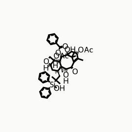 CC(=O)O[C@H]1C[C@@]2(O)[C@@H](OC(=O)c3ccccc3)[C@@H]3[C@]4(OC(C)=O)CO[C@@H]4C[C@H](CC(C)(C)[Si](O)(c4ccccc4)c4ccccc4)[C@@]3(C)[C@@H](O)C(=O)C(=C1C)C2(C)C